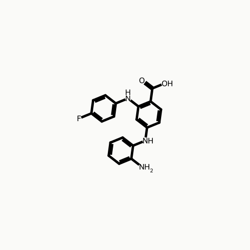 Nc1ccccc1Nc1ccc(C(=O)O)c(Nc2ccc(F)cc2)c1